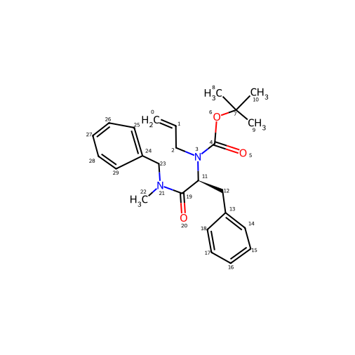 C=CCN(C(=O)OC(C)(C)C)[C@@H](Cc1ccccc1)C(=O)N(C)Cc1ccccc1